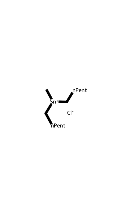 CCCCC[CH2][Sn+]([CH3])[CH2]CCCCC.[Cl-]